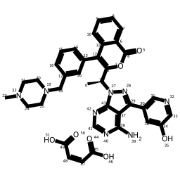 C[C@@H](c1oc(=O)c2ccccc2c1-c1cccc(CN2CCN(C)CC2)c1)n1nc(-c2cncc(O)c2)c2c(N)ncnc21.O=C(O)/C=C\C(=O)O